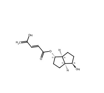 C=C(O)C=CC(=O)O[C@H]1CC[C@H]2[C@@H]1CC[C@H]2O